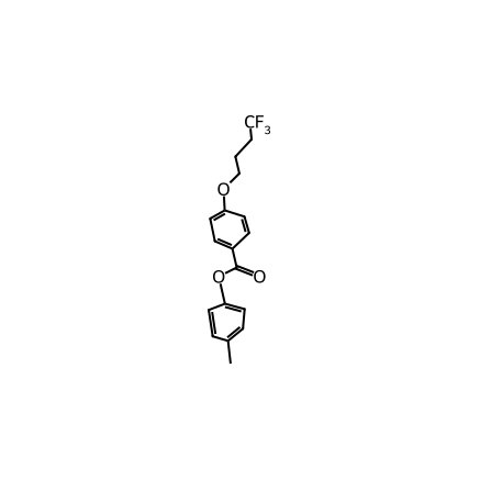 Cc1ccc(OC(=O)c2ccc(OCCCC(F)(F)F)cc2)cc1